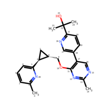 Cc1cccc([C@H]2C[C@@H]2COc2nc(C)ncc2-c2ccc(C(C)(C)O)nc2)n1